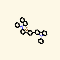 c1ccc(N(c2cccc3ccccc23)c2cccc3c2sc2cc(-c4ccc5c6ccccc6n(-c6ccccc6)c5c4)ccc23)cc1